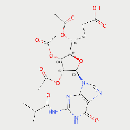 CC(=O)O[C@H]1[C@@H](OC(C)=O)[C@H](n2cnc3c(=O)[nH]c(NC(=O)C(C)C)nc32)O[C@@H]1[C@@H](CCC(=O)O)OC(C)=O